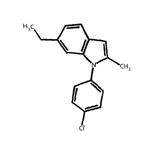 CCc1ccc2cc(C)n(-c3ccc(Cl)cc3)c2c1